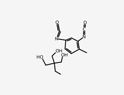 CCC(CO)(CO)CO.Cc1ccc(N=C=O)cc1N=C=O